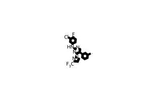 [CH2]c1cccc(-c2cnc(Nc3ccc(F)c(Cl)c3)nc2-n2ccc(C(F)(F)F)n2)c1